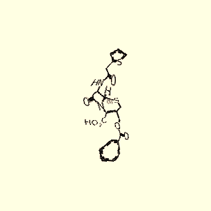 O=C(Cc1cccs1)NC1C(=O)N2C(C(=O)O)=C(COC(=O)c3ccccc3)CS[C@@H]12